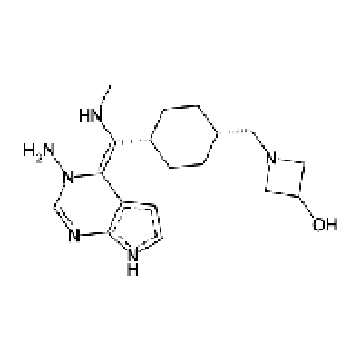 CN/C(=C1/c2cc[nH]c2N=CN1N)[C@H]1CC[C@@H](CN2CC(O)C2)CC1